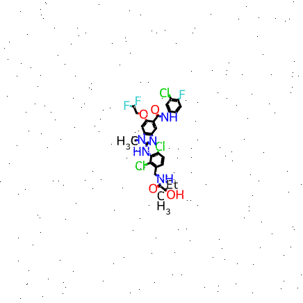 CCC(C)(O)C(=O)NCc1ccc(Cl)c(Nc2nc3cc(C(=O)Nc4ccc(F)c(Cl)c4)c(OCC(F)F)cc3n2C)c1Cl